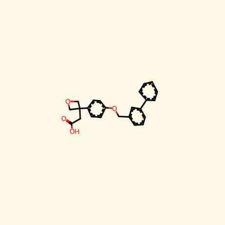 O=C(O)CC1(c2ccc(OCc3cccc(-c4ccccc4)c3)cc2)COC1